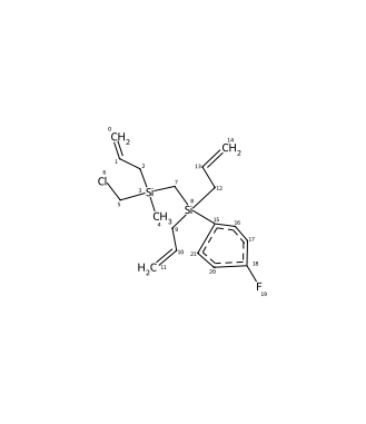 C=CC[Si](C)(CCl)C[Si](CC=C)(CC=C)c1ccc(F)cc1